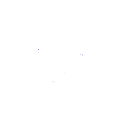 CNc1cc(-c2cn([C@@H]3CCCOC3)c3ncccc23)nc2c(C(=O)NC3CCC3O)cnn12